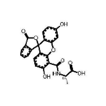 C[C@H](NC(=O)c1c(O)ccc2c1Oc1cc(O)ccc1C21OC(=O)c2ccccc21)C(=O)O